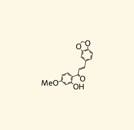 COc1ccc(C(=O)C=Cc2ccc3c(c2)OCO3)c(O)c1